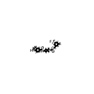 O=C(NC1CC2(C1)CN(C(=O)OCc1cc(F)cc(C(F)(F)F)c1)C2)c1ccc2[nH]nnc2c1